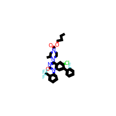 CCCCOC(=O)N1CCN(c2nc(=O)n(-c3ccccc3C(F)(F)F)c3cc(-c4ccccc4F)c(Cl)cc23)C(C)C1